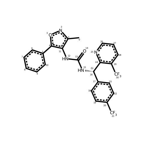 Cc1noc(-c2ccccc2)c1NC(=O)N[C@@H](c1ccc(C(F)(F)F)cc1)c1ncccc1C(F)(F)F